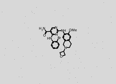 COc1cc2c(cc1Nc1ncc(C(N)=O)c(Nc3ccccc3Br)n1)CN(C1COC1)CC2